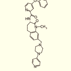 CN1C(=O)[C@@H](NC(=O)c2cc(Oc3ccccc3)ccn2)CCc2ccc(CN3CCN(c4ccncc4)CC3)cc21